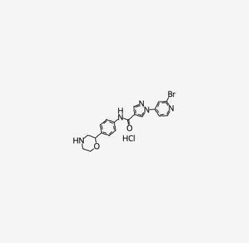 Cl.O=C(Nc1ccc(C2CNCCO2)cc1)c1cnn(-c2ccnc(Br)c2)c1